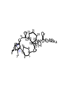 C=N/C(C)=C1/C2=CCC(CC2)OC[C@H]2[C@@H](NC(=O)OC(C)(C)C)CCCN2C(=O)CO/C1=N/C